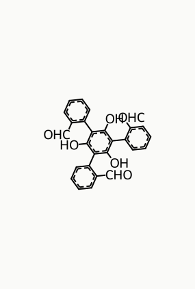 O=Cc1ccccc1-c1c(O)c(-c2ccccc2C=O)c(O)c(-c2ccccc2C=O)c1O